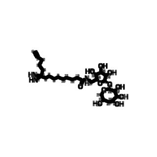 C#CCCCC1(CCCCCCCCC(=O)NCC2O[C@H](O[C@H]3OCC(O)C[C@@H](O)C(O)C3O)C(O)C(O)[C@@H]2O)NN1